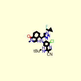 Cn1ccc2c(C(Nc3cc(Cl)c4ncc(C#N)c(NCC(C)(C)C)c4c3)c3cn(C4(CF)CC4)nn3)cccc2c1=O